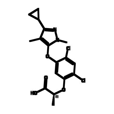 Cc1c(C2CC2)nn(C)c1Oc1cc(O[C@@H](C)C(=O)O)c(Cl)cc1Cl